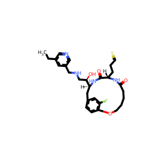 CCc1cncc(CNC[C@@H](O)[C@@H]2Cc3ccc(c(F)c3)OCCCCC(=O)N[C@@H](CCC=S)C(=O)N2)c1